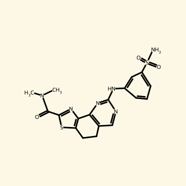 CN(C)C(=O)c1nc2c(s1)CCc1cnc(Nc3cccc(S(N)(=O)=O)c3)nc1-2